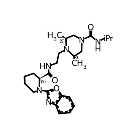 CC(C)NC(=O)N1C[C@@H](C)N(CCNC(=O)[C@@H]2CCCCN2c2nc3ccccc3o2)[C@@H](C)C1